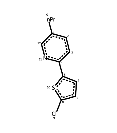 CCCc1ccc(-c2ccc(Cl)s2)nc1